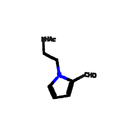 CC(=O)NCCn1cccc1C=O